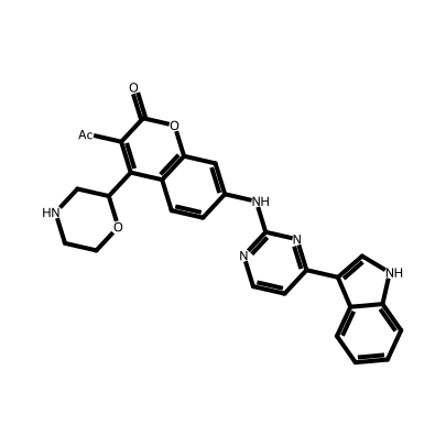 CC(=O)c1c(C2CNCCO2)c2ccc(Nc3nccc(-c4c[nH]c5ccccc45)n3)cc2oc1=O